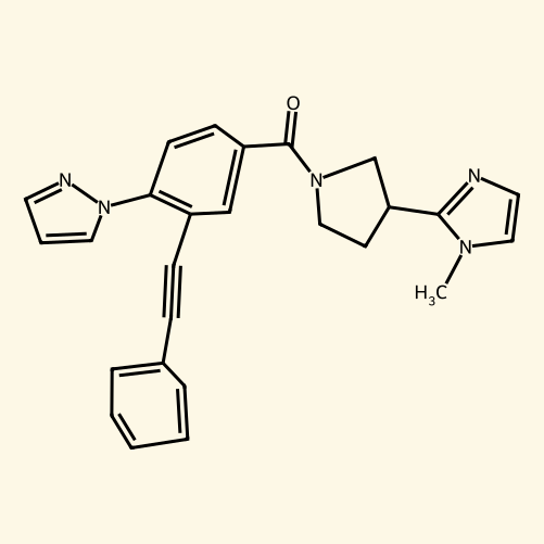 Cn1ccnc1C1CCN(C(=O)c2ccc(-n3cccn3)c(C#Cc3ccccc3)c2)C1